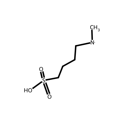 C[N]CCCCS(=O)(=O)O